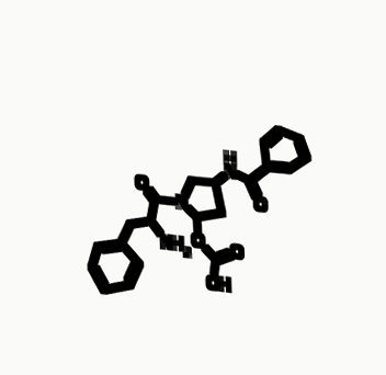 NC(Cc1ccccc1)C(=O)N1CC(NC(=O)c2ccccc2)CC1OC(=O)O